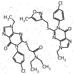 CCN(CC)C(=O)CSc1nc2c(ncn2CC)c(=O)n1-c1ccc(Cl)cc1.CCn1cnc2c(=O)n(-c3ccc(Cl)cc3)c(SCc3cc(C)on3)nc21